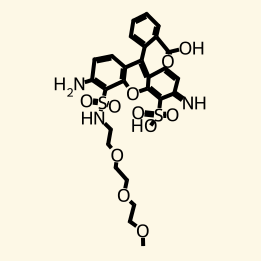 COCCOCCOCCNS(=O)(=O)c1c(N)ccc2c(-c3ccccc3C(=O)O)c3ccc(=N)c(S(=O)(=O)O)c-3oc12